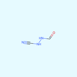 N#CNNC=O